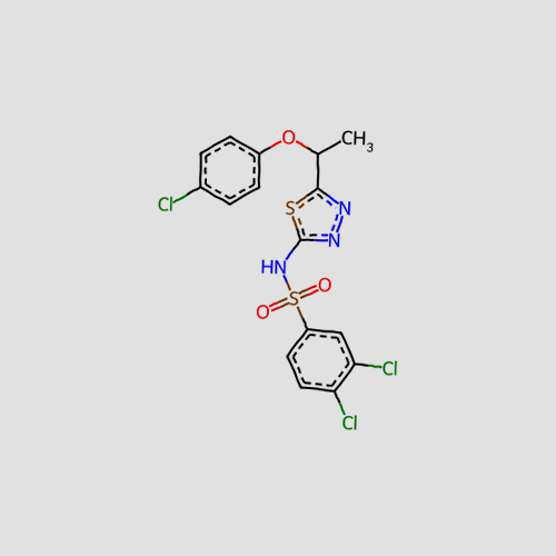 CC(Oc1ccc(Cl)cc1)c1nnc(NS(=O)(=O)c2ccc(Cl)c(Cl)c2)s1